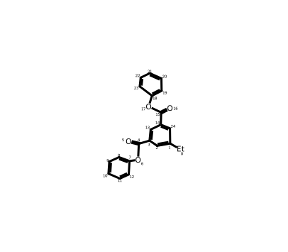 CCc1cc(C(=O)Oc2ccccc2)cc(C(=O)Oc2ccccc2)c1